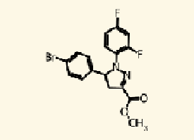 COC(=O)C1=NN(c2ccc(F)cc2F)C(c2ccc(Br)cc2)C1